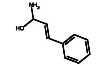 NC(O)C=Cc1ccccc1